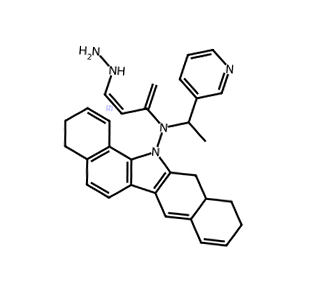 C=C(/C=C\NN)N(C(C)c1cccnc1)n1c2c(c3ccc4c(c31)C=CCC4)C=C1C=CCCC1C2